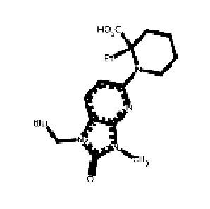 CCC1(C(=O)O)CCCCN1c1ccc2c(n1)n(C)c(=O)n2CC(C)(C)C